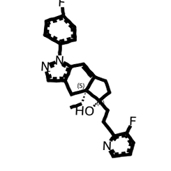 CC[C@]12Cc3cnn(-c4ccc(F)cc4)c3C=C1CC[C@@]2(O)CCc1ncccc1F